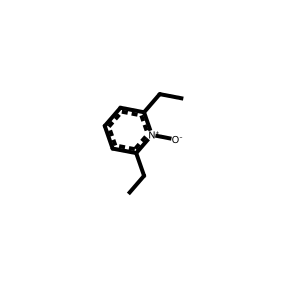 CCc1cccc(CC)[n+]1[O-]